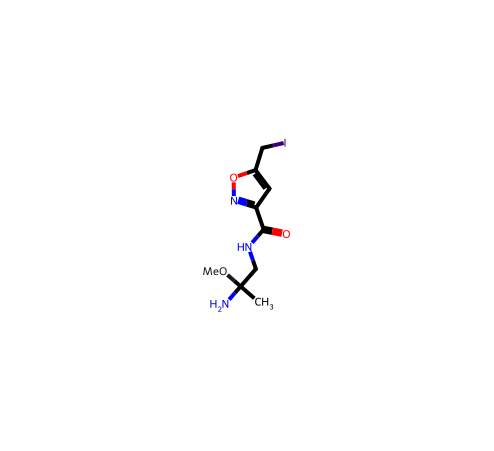 COC(C)(N)CNC(=O)c1cc(CI)on1